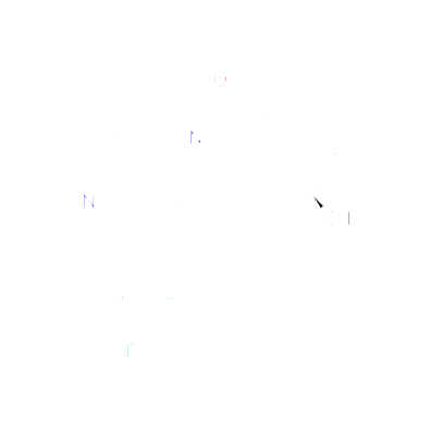 C[C@@H]1CCC(C(=O)N2CCc3ncc(C(F)(F)F)cc3C2)C1